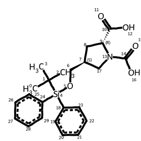 CC(C)(C)[Si](OC[C@H]1C[C@H](C(=O)O)N(C(=O)O)C1)(c1ccccc1)c1ccccc1